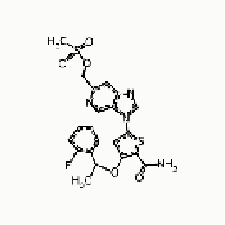 CC(Oc1cc(-n2cnc3cc(COS(C)(=O)=O)ncc32)sc1C(N)=O)c1ccccc1F